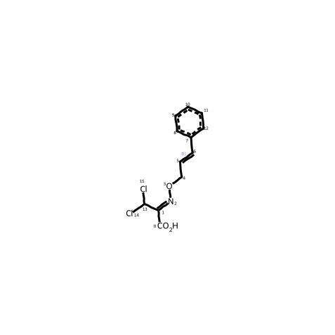 O=C(O)C(=NOC/C=C/c1ccccc1)C(Cl)Cl